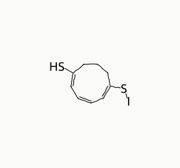 S/C1=C/C=C\C=C(\SI)CCC1